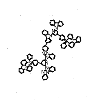 c1ccc([Si](c2ccccc2)(c2ccc(-c3cc(-n4c5ccccc5c5ccccc54)nc(-n4c5ccccc5c5cc(-c6ccc7nc8n(-c9cc(-c%10ccc([Si](c%11ccccc%11)(c%11ccccc%11)c%11cccc%12c%11sc%11ccccc%11%12)cc%10)cc(-n%10c%11ccccc%11n%11c%12ccccc%12nc%10%11)n9)c9ccccc9n8c7c6)ccc54)c3)cc2)c2cccc3c2sc2ccccc23)cc1